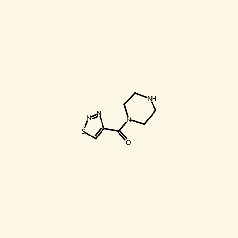 O=C(c1csnn1)N1CCNCC1